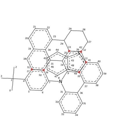 CC(C)(C)c1ccc(N(c2ccccc2-c2cccc3cccc(C4CCCCC4)c23)c2ccccc2-c2cccc3sc4ccccc4c23)cc1